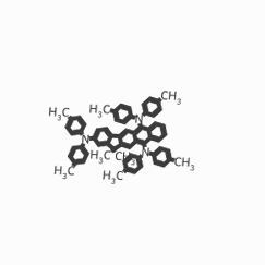 Cc1ccc(N(c2ccc(C)cc2)c2ccc3c(c2)C(C)(C)c2cc4c(N(c5ccc(C)cc5)c5ccc(C)cc5)c5ccccc5c(N(c5ccc(C)cc5)c5ccc(C)cc5)c4cc2-3)cc1